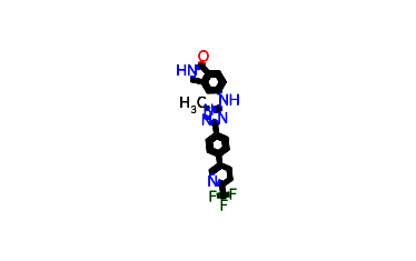 Cn1nc(-c2ccc(C3=CN=C(C(F)(F)F)CC3)cc2)nc1Nc1ccc2c(c1)CNC2=O